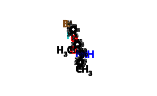 COc1cc(OCc2ccc(Br)cc2F)ccc1-c1c[nH]c(-c2ccc(C)cc2)n1